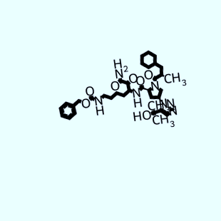 C[C@H](CC1CCCCC1)C(=O)N1C[C@@H](n2nncc2C(C)(C)O)C[C@H]1C(=O)NC(CCCCNC(=O)OCc1ccccc1)C(=O)C(N)=O